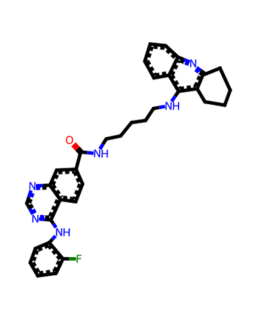 O=C(NCCCCCNc1c2c(nc3ccccc13)CCCC2)c1ccc2c(Nc3ccccc3F)ncnc2c1